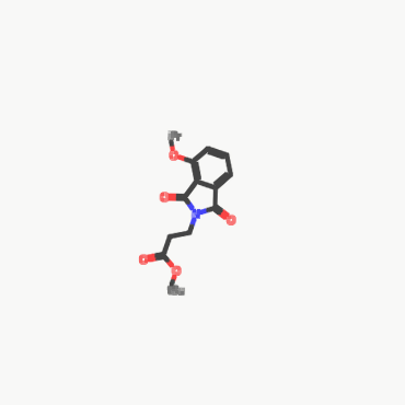 CC(C)Oc1cccc2c1C(=O)N(CCC(=O)OC(C)(C)C)C2=O